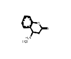 Cl.NC1CC(=S)Oc2ccccc21